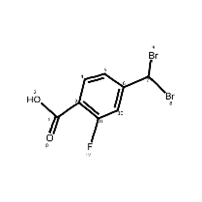 O=C(O)c1ccc(C(Br)Br)cc1F